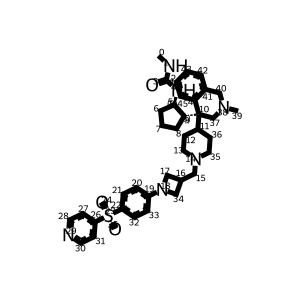 CNC(=O)N[C@@H]1CCC[C@H]1C1(C2CCN(CC3CN(c4ccc(S(=O)(=O)c5ccncc5)cc4)C3)CC2)CN(C)Cc2ccccc21